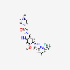 COC1=CC(=N)/C(=C\NCC(=O)N2CCN(C)CC2)C=C1NC(=O)c1cccc(C(F)(F)F)n1